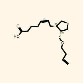 C=CCCOC[C@H]1CSC[C@@H]1C/C=C\CCCC(=O)O